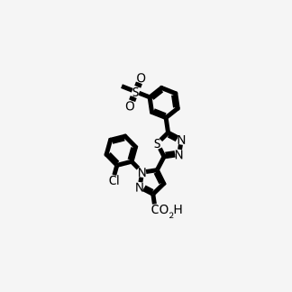 CS(=O)(=O)c1cccc(-c2nnc(-c3cc(C(=O)O)nn3-c3ccccc3Cl)s2)c1